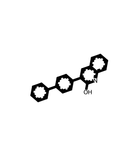 Oc1nc2ccccc2cc1-c1ccc(-c2ccccc2)cc1